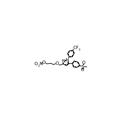 CS(=O)(=O)c1ccc(-c2cc(COCCCO[N+](=O)[O-])nn2-c2ccc(C(F)(F)F)cc2)cc1